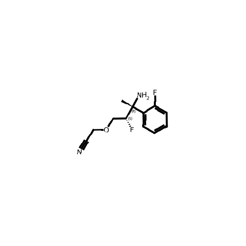 C[C@@](N)(c1ccccc1F)[C@H](F)COCC#N